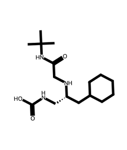 CC(C)(C)NC(=O)CN[C@@H](CNC(=O)O)CC1CCCCC1